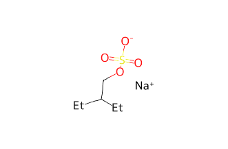 CCC(CC)COS(=O)(=O)[O-].[Na+]